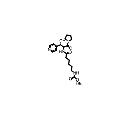 CC(C)(C)OC(=O)NCCCCCC(=O)NC(C(=O)N1CCCC1)[C@@H](O)c1ccncc1